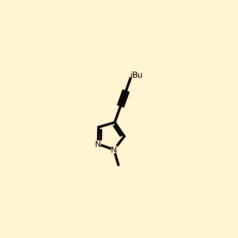 CCC(C)C#Cc1cnn(C)c1